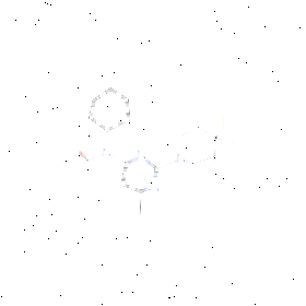 Cc1cc(N(C=O)c2ccccc2)nc(N2CCC(F)(F)CC2)n1